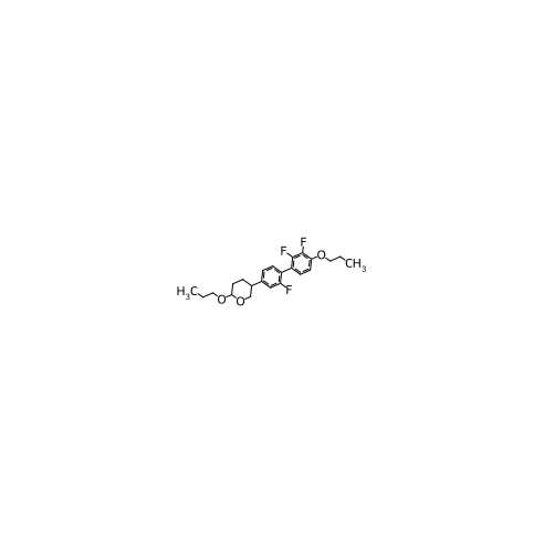 CCCOc1ccc(-c2ccc(C3CCC(OCCC)OC3)cc2F)c(F)c1F